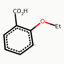 CCOc1[c]cccc1C(=O)O